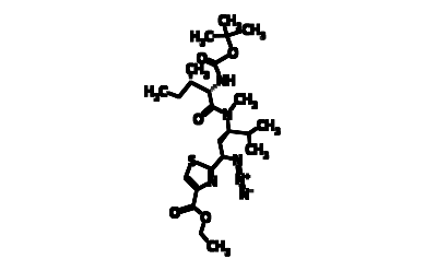 CCOC(=O)c1csc(C(C[C@H](C(C)C)N(C)C(=O)[C@@H](NC(=O)OC(C)(C)C)[C@@H](C)CC)N=[N+]=[N-])n1